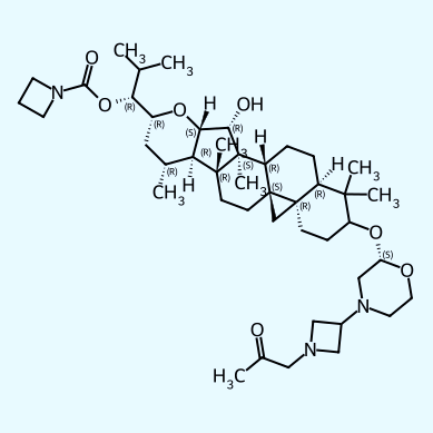 CC(=O)CN1CC(N2CCO[C@@H](OC3CC[C@]45C[C@]46CC[C@]4(C)[C@@H]7[C@H](O[C@@H]([C@H](OC(=O)N8CCC8)C(C)C)C[C@H]7C)[C@H](O)[C@@]4(C)[C@@H]6CC[C@H]5C3(C)C)C2)C1